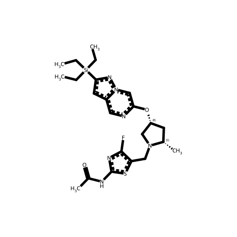 CC[Si](CC)(CC)c1cc2cnc(O[C@@H]3C[C@H](C)N(Cc4sc(NC(C)=O)nc4F)C3)cn2n1